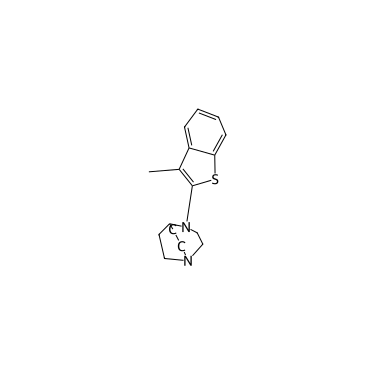 Cc1c(N2CCN3CCC2CC3)sc2ccccc12